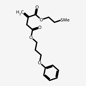 C=C(CC(=O)OCCCOc1ccccc1)C(=O)OCCSC